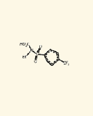 CCN(C(=O)O)S(=O)(=O)c1ccc(C(F)(F)F)cc1